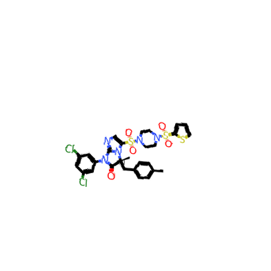 Cc1ccc(C[C@]2(C)C(=O)N(c3cc(Cl)cc(Cl)c3)c3ncc(S(=O)(=O)N4CCN(S(=O)(=O)c5cccs5)CC4)n32)cc1